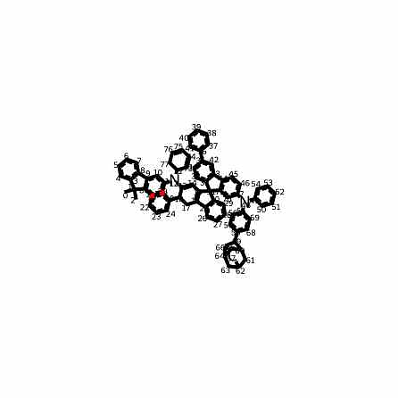 CC1(C)c2ccccc2-c2cc(N(C3=CC4=C(CC3c3ccccc3)c3ccccc3C43c4ccc(-c5ccccc5)cc4-c4ccc(N(c5ccccc5)c5ccc(C6C7CC8CC(C7)C6C8)cc5)cc43)C3C=CC=CC3)ccc21